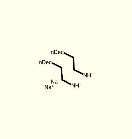 CCCCCCCCCCCC[NH-].CCCCCCCCCCCC[NH-].[Na+].[Na+]